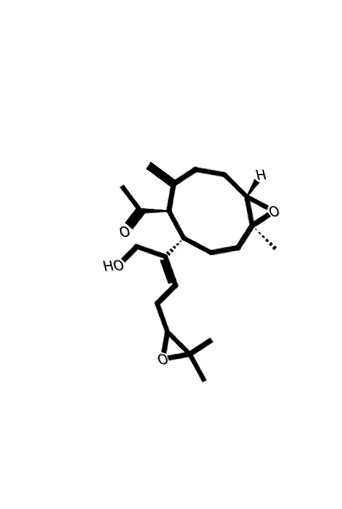 C=C1CC[C@@H]2O[C@@]2(C)CC[C@H](/C(=C/CC2OC2(C)C)CO)[C@H]1C(C)=O